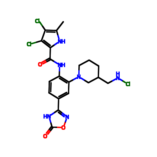 Cc1[nH]c(C(=O)Nc2ccc(-c3noc(=O)[nH]3)cc2N2CCCC(CNCl)C2)c(Cl)c1Cl